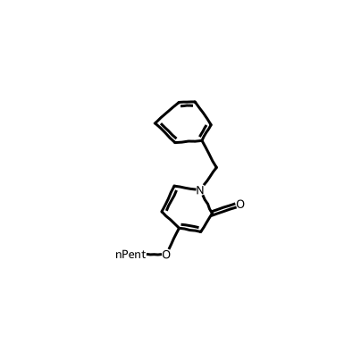 CCCCCOc1ccn(Cc2ccccc2)c(=O)c1